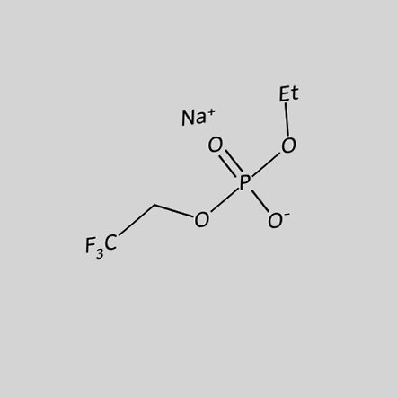 CCOP(=O)([O-])OCC(F)(F)F.[Na+]